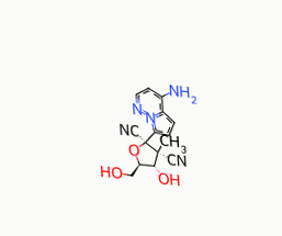 C[C@@]1(C#N)[C@H](O)[C@@H](CO)O[C@@]1(C#N)c1ccc2c(N)ccnn12